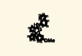 COc1ccc(C2(C(=O)N3CCC[C@@H]3C(=O)Nc3cccc4cccnc34)CCCC2)cc1